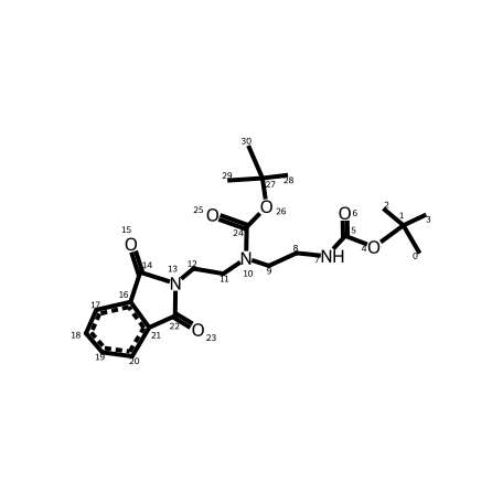 CC(C)(C)OC(=O)NCCN(CCN1C(=O)c2ccccc2C1=O)C(=O)OC(C)(C)C